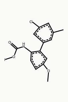 COc1ccc(NC(=O)OI)c(-c2cc(C)cc(Cl)c2)c1